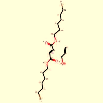 C=CCO.O=C(/C=C/C(=O)OCCCCCCBr)OCCCCCCBr